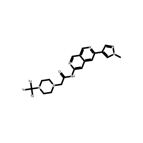 [2H]C([2H])([2H])N1CCN(CC(=O)Nc2cc3cc(-c4cnn(C)c4)ncc3cn2)CC1